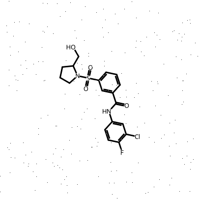 O=C(Nc1ccc(F)c(Cl)c1)c1cccc(S(=O)(=O)N2CCCC2CO)c1